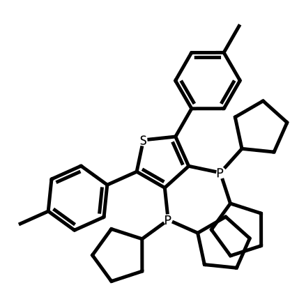 Cc1ccc(-c2sc(-c3ccc(C)cc3)c(P(C3CCCC3)C3CCCC3)c2P(C2CCCC2)C2CCCC2)cc1